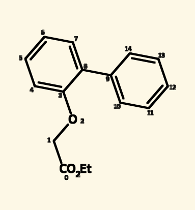 CCOC(=O)COc1ccccc1-c1ccccc1